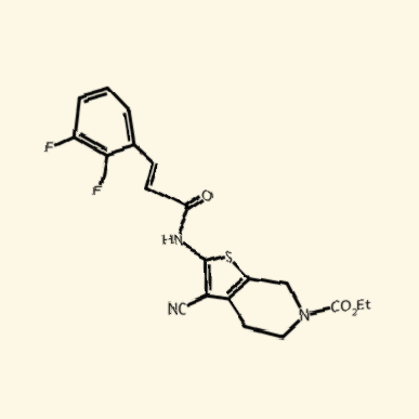 CCOC(=O)N1CCc2c(sc(NC(=O)/C=C/c3cccc(F)c3F)c2C#N)C1